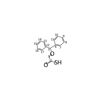 O=C(S)COC(c1ccccc1)c1ccccc1